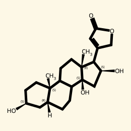 C[C@]12CC[C@H](O)C[C@H]1CCC1C2CC[C@]2(C)C(C3=CC(=O)OC3)[C@@H](O)C[C@]12O